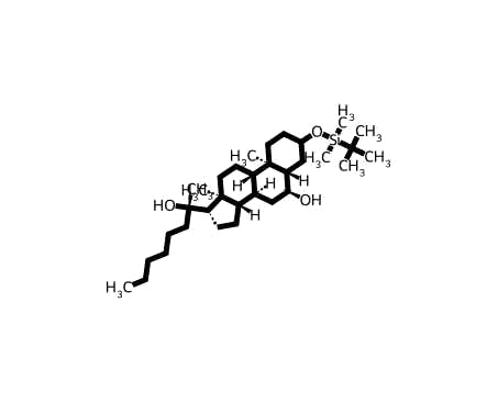 CCCCCC[C@](C)(O)[C@H]1CC[C@H]2[C@@H]3C[C@H](O)[C@H]4CC(O[Si](C)(C)C(C)(C)C)CC[C@]4(C)[C@H]3CC[C@@]21C